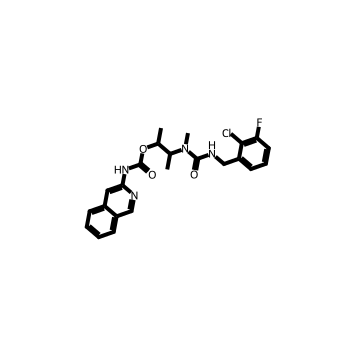 CC(OC(=O)Nc1cc2ccccc2cn1)C(C)N(C)C(=O)NCc1cccc(F)c1Cl